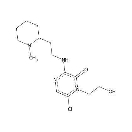 CN1CCCCC1CCNc1ncc(Cl)n(CCO)c1=O